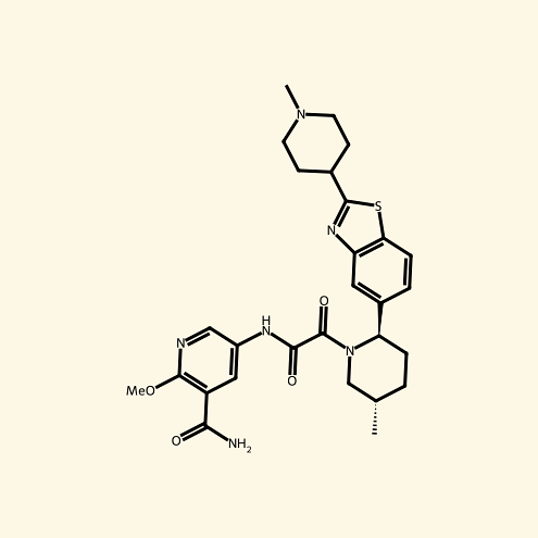 COc1ncc(NC(=O)C(=O)N2C[C@@H](C)CC[C@@H]2c2ccc3sc(C4CCN(C)CC4)nc3c2)cc1C(N)=O